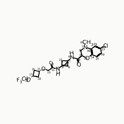 CN1CC(C(=O)NC23CC(NC(=O)CO[C@H]4C[C@@H](OC(F)(F)F)C4)(C2)C3)Oc2ccc(Cl)cc21